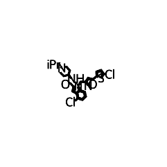 CC(C)N1CCC(NC(=O)c2cc3c(Cl)cccc3n2Cc2cc(-c3ccc(Cl)s3)on2)CC1